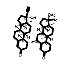 C#C[C@]1(O)CC[C@H]2[C@@H]3CCC4=CC(=O)CC[C@@H]4[C@H]3CC[C@@]21C.CC(=O)O[C@]1(C(C)=O)CC[C@H]2[C@@H]3C[C@H](C)C4=CC(=O)CC[C@]4(C)[C@H]3CC[C@@]21C